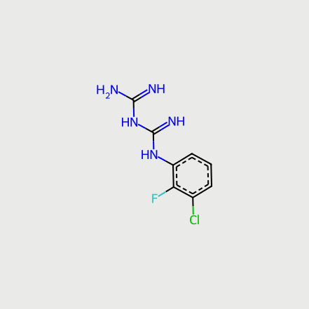 N=C(N)NC(=N)Nc1cccc(Cl)c1F